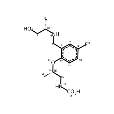 C[C@@H](CO)NCc1cc(F)ccc1O[C@@H](C)CNC(=O)O